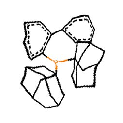 c1ccc(-c2ccccc2P(C23CC4CC(CC(C4)C2)C3)C23CC4CC(CC(C4)C2)C3)cc1